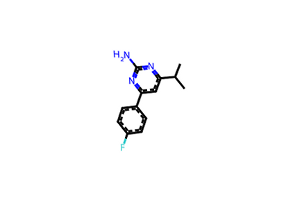 CC(C)c1cc(-c2ccc(F)cc2)nc(N)n1